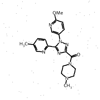 COc1ccc(-n2nc(C(=O)N3CCN(C)CC3)nc2-c2ccc(C)cn2)cn1